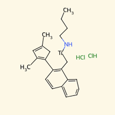 CCCC[NH][Ti][CH2]c1c(C2=C(C)C=C(C)C2)ccc2ccccc12.Cl.Cl